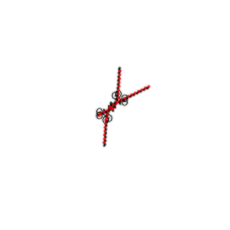 CCCCCCCCCCCCCCOC(=O)CCN(CCC(=O)OCCCCCCCCCCCCCC)CCN1C[C@H](C)N(CCN(CCC(=O)OC)CCC(=O)OCCCCCCCCCCCCCC)C[C@H]1C